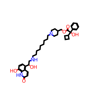 O=C(OCC1CCN(CCCCCCCCCNC[C@@H](O)c2ccc(O)c3[nH]c(=O)ccc23)CC1)C(O)(c1ccccc1)C1CCC1